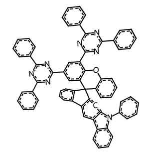 c1ccc(-c2nc(-c3ccccc3)nc(-c3cc(-c4nc(-c5ccccc5)nc(-c5ccccc5)n4)c4c(c3)C3(c5ccccc5O4)c4ccccc4-c4cc5c6ccccc6n(-c6ccccc6)c5cc43)n2)cc1